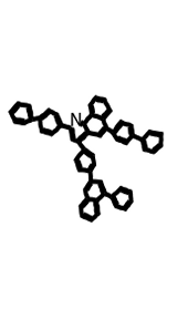 c1ccc(-c2ccc(-c3cc(-c4ccc(-c5cc(-c6ccccc6)c6ccccc6c5)cc4)c4cc(-c5ccc(-c6ccccc6)cc5)c5ccccc5c4n3)cc2)cc1